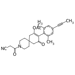 CC#Cc1cc(C)c(C2=C(OC(C)=O)CC3(CCN(C(=O)CC#N)CC3)CC2=O)c(C)c1